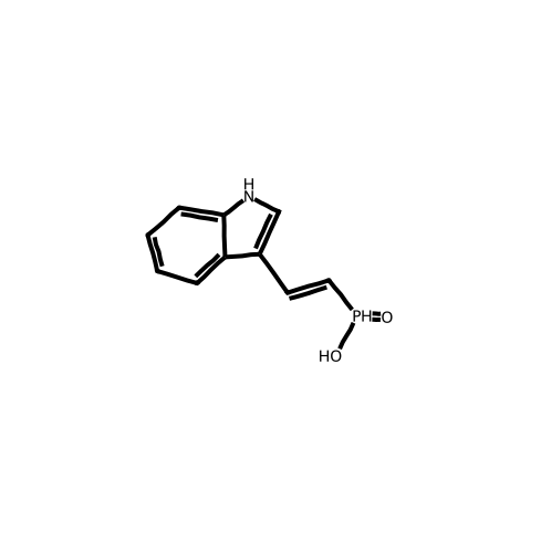 O=[PH](O)/C=C/c1c[nH]c2ccccc12